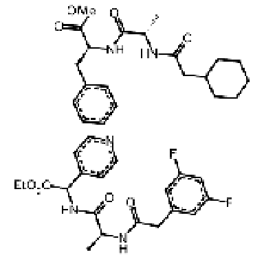 CCOC(=O)C(NC(=O)[C@H](C)NC(=O)Cc1cc(F)cc(F)c1)c1ccncc1.COC(=O)[C@H](Cc1ccccc1)NC(=O)[C@H](C)NC(=O)CC1CCCCC1